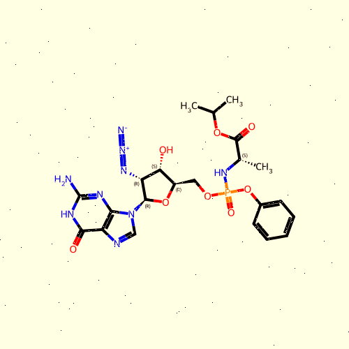 CC(C)OC(=O)[C@H](C)NP(=O)(OC[C@H]1O[C@@H](n2cnc3c(=O)[nH]c(N)nc32)[C@H](N=[N+]=[N-])[C@@H]1O)Oc1ccccc1